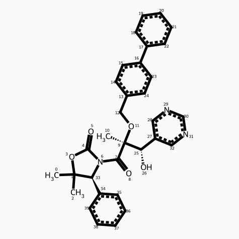 CC1(C)OC(=O)N(C(=O)[C@@](C)(OCc2ccc(-c3ccccc3)cc2)[C@@H](O)c2cncnc2)[C@H]1c1ccccc1